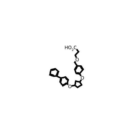 O=C(O)CCOCc1ccc(OC2CCC(Oc3ccc(-c4ccccc4)cc3)C2)cc1